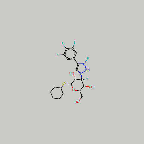 OC[C@H]1O[C@H](SC2CCCCC2)[C@H](O)[C@@](F)(N2C=C(c3cc(F)c(F)c(F)c3)N(F)N2)[C@H]1O